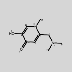 CN(C)Cc1cc(=O)c(O)cn1C